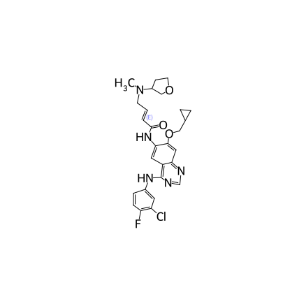 CN(C/C=C/C(=O)Nc1cc2c(Nc3ccc(F)c(Cl)c3)ncnc2cc1OCC1CC1)C1CCOC1